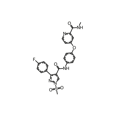 CNC(=O)c1cc(Oc2ccc(NC(=O)c3cn(S(C)(=O)=O)nc3-c3ccc(F)cc3)cc2)ccn1